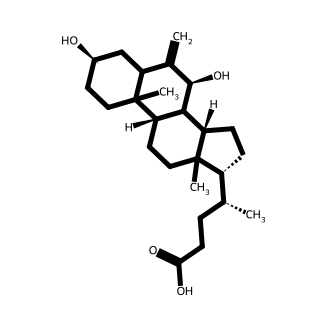 C=C1C2C[C@H](O)CCC2(C)[C@H]2CCC3(C)[C@@H]([C@H](C)CCC(=O)O)CC[C@H]3C2[C@@H]1O